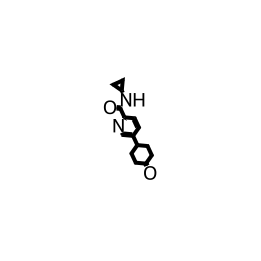 O=C1CCC(c2ccc(C(=O)NC3CC3)nc2)CC1